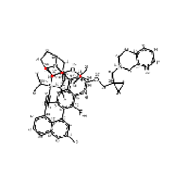 Cc1cc(-c2c(F)cc3c(N4CC5CCC(C4)N5C(=O)OC(C)(C)C)nc(OCC4(CN5CCc6cccnc6C5)CC4)nc3c2F)c2c(C#C[Si](C(C)C)(C(C)C)C(C)C)cccc2c1